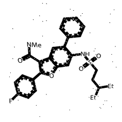 CCC(CC)CCS(=O)(=O)Nc1cc2oc(-c3ccc(F)cc3)c(C(=O)NC)c2cc1-c1ccccc1